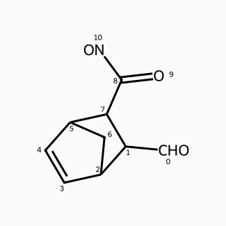 O=CC1C2C=CC(C2)C1C(=O)N=O